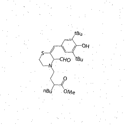 CCCCC(CCN1CCSC(=Cc2cc(C(C)(C)C)c(O)c(C(C)(C)C)c2)C1C=O)C(=O)OC